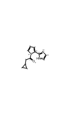 O=C(CC1CC1)n1cccc1-c1ncc[nH]1